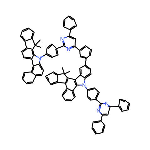 CC1(C)c2ccccc2-c2c1c1c3cc(-c4cccc(-c5cc(-c6ccccc6)nc(-c6ccc(-n7c8ccc9ccccc9c8c8ccc9c(c87)C(C)(C)c7ccccc7-9)cc6)n5)c4)ccc3n(-c3ccc(-c4nc(-c5ccccc5)cc(-c5ccccc5)n4)cc3)c1c1ccccc21